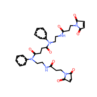 O=C(CCN1C(=O)C=CC1=O)NCCN(C(=O)CCC(=O)N(CCNC(=O)CCN1C(=O)C=CC1=O)c1ccccc1)c1ccccc1